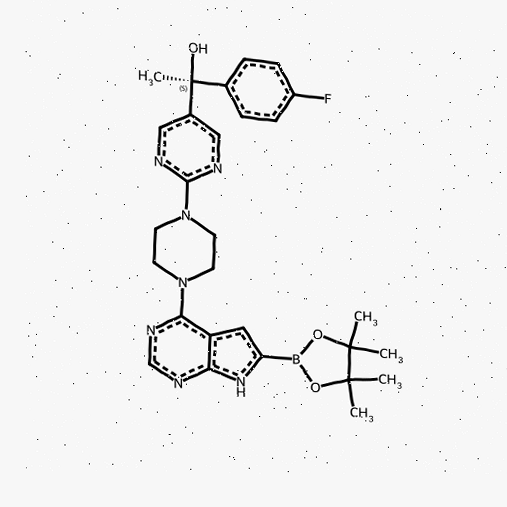 CC1(C)OB(c2cc3c(N4CCN(c5ncc([C@@](C)(O)c6ccc(F)cc6)cn5)CC4)ncnc3[nH]2)OC1(C)C